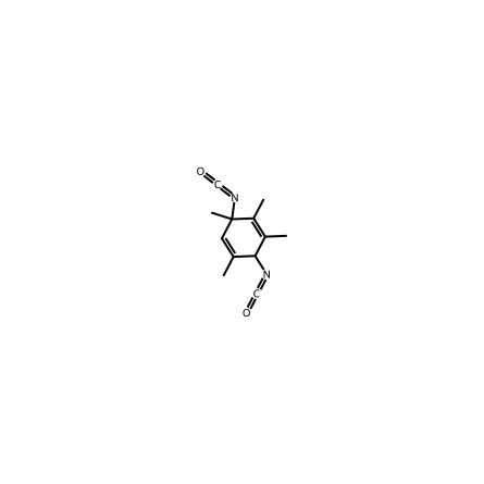 CC1=CC(C)(N=C=O)C(C)=C(C)C1N=C=O